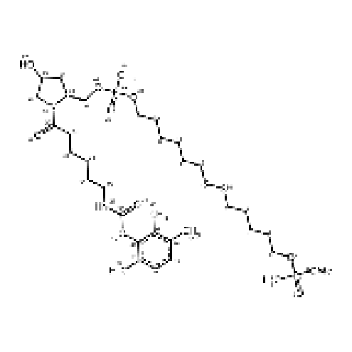 COP(C)(=O)OCCCCCSSCCCCCCOP(C)(=O)OC[C@@H]1CC(O)CN1C(=O)CCCCCNC(=O)Oc1c(C)ccc(C)c1C